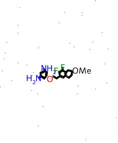 COC1CCc2cc(CCOc3cc(N)cc(N)c3)c(F)c(F)c2C1